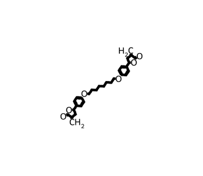 C=C1CC(c2ccc(OCCCCCCCCOc3ccc(C4CC(=C)C(=O)O4)cc3)cc2)OC1=O